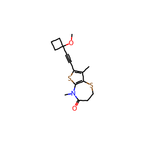 COC1(C#Cc2sc3c(c2C)SCCC(=O)N3C)CCC1